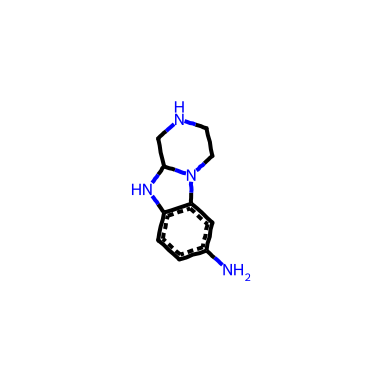 Nc1ccc2c(c1)N1CCNCC1N2